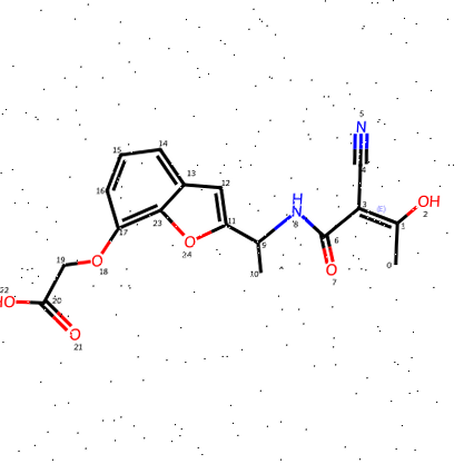 C/C(O)=C(/C#N)C(=O)NC(C)c1cc2cccc(OCC(=O)O)c2o1